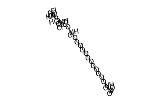 O=C(CCOCCOCCOCCOCCOCCOCCOCCOCCOCCOCCOCCOCCNC(=O)CCN1C(=O)C=CC1=O)NCCCOc1cc(Cl)c(C(=O)NC(Cc2ccc(NC(=O)c3c(Cl)cccc3Cl)cc2)C(=O)O)c(Cl)c1